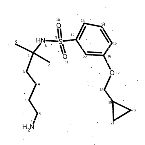 CC(C)(CCCCN)NS(=O)(=O)c1cccc(OCC2CC2)c1